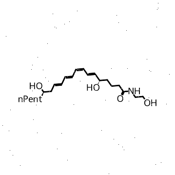 CCCCC[C@@H](O)C/C=C/C=C/C=C\C=C\[C@@H](O)CCCC(=O)NCCO